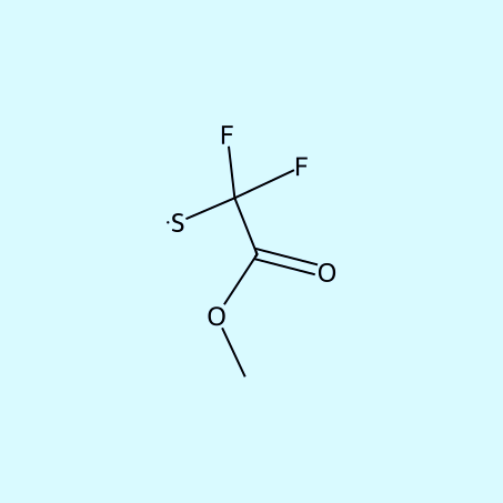 COC(=O)C(F)(F)[S]